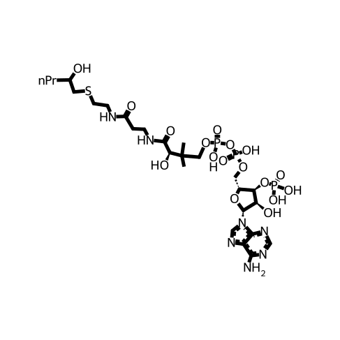 CCCC(O)CSCCNC(=O)CCNC(=O)[C@H](O)C(C)(C)COP(=O)(O)OP(=O)(O)OC[C@H]1O[C@@H](n2cnc3c(N)ncnc32)[C@H](O)[C@@H]1OP(=O)(O)O